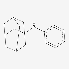 c1ccc(PC23CC4CC(CC(C4)C2)C3)cc1